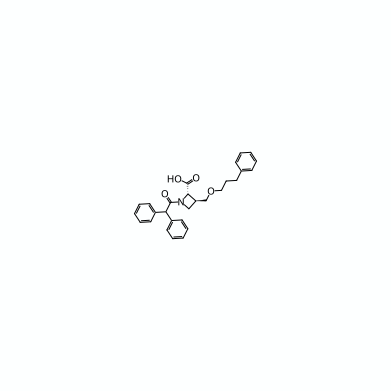 O=C(O)[C@@H]1[C@@H](COCCCc2ccccc2)CN1C(=O)C(c1ccccc1)c1ccccc1